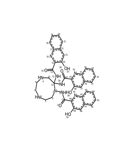 O=C(NN1CCNCCNCC1(NC(=O)c1nc2ccccc2cc1O)NC(=O)c1nc2ccccc2cc1O)c1nc2ccccc2cc1O